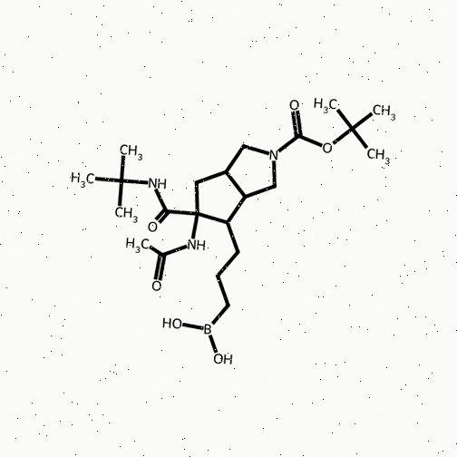 CC(=O)NC1(C(=O)NC(C)(C)C)CC2CN(C(=O)OC(C)(C)C)CC2C1CCCB(O)O